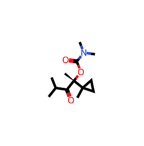 CC(C)C(=O)[C@](C)(OC(=O)N(C)C)C1(C)CC1